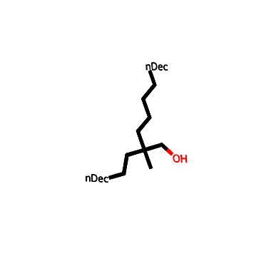 CCCCCCCCCCCCCCC(C)(CO)CCCCCCCCCCCC